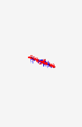 CCCC(=O)NCCOCCNC(=O)CCOCCNC(=O)CC[C@H](NC(=O)OC(C)(C)C)C(=O)NCCOCCC(=O)NCCOCCNC(=O)CCC